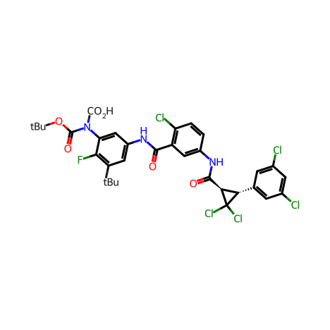 CC(C)(C)OC(=O)N(C(=O)O)c1cc(NC(=O)c2cc(NC(=O)[C@H]3[C@H](c4cc(Cl)cc(Cl)c4)C3(Cl)Cl)ccc2Cl)cc(C(C)(C)C)c1F